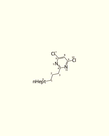 CCCCCCCCCCc1nc(Cl)cc(Cl)n1